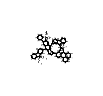 CC1(C)c2ccccc2-c2ccc(-c3c4ccc5cc4c(c4cc6c(cc34)-c3ccccc3[Si]6(C)C)-c3ccc4c(c3)C(C)(c3cc6c-5ccc5c7cccc8cccc(c(c3)c65)c87)c3ccccc3-4)cc21